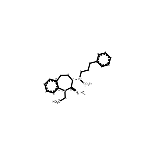 CCOC(=O)N(CCCc1ccccc1)[C@H]1CCc2ccccc2N(CC(=O)O)C1=O.Cl